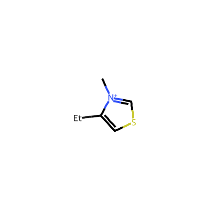 [CH2]Cc1csc[n+]1C